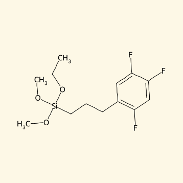 CCO[Si](CCCc1cc(F)c(F)cc1F)(OC)OC